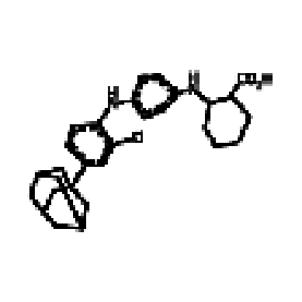 O=C(O)C1CCCCC1Nc1ccc(Nc2ccc(C34CC5CC(CC(C5)C3)C4)cc2Cl)cc1